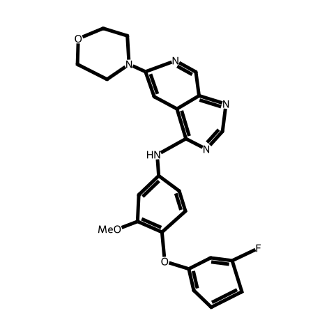 COc1cc(Nc2ncnc3cnc(N4CCOCC4)cc23)ccc1Oc1cccc(F)c1